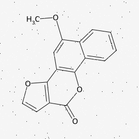 COc1cc2c3occc3c(=O)oc2c2ccccc12